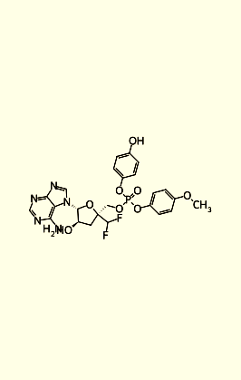 COc1ccc(OP(=O)(OC[C@]2(C(F)F)C[C@@H](O)[C@H](n3cnc4ncnc(N)c43)O2)Oc2ccc(O)cc2)cc1